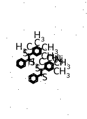 Cc1cc(C(=S)C(=S)c2ccccc2)c(C)c(C)c1C.Cc1cc(C(=S)C(=S)c2ccccc2)c(C)c(C)c1C.[Ni]